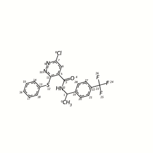 CC(NC(=O)c1cc(Cl)nnc1Sc1ccccc1)c1ccc(C(F)(F)F)cc1